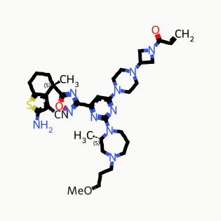 C=CC(=O)N1CC(N2CCN(c3cc(-c4noc([C@@]5(C)CCCc6sc(N)c(C#N)c65)n4)nc(N4CCCN(CCCOC)C[C@@H]4C)n3)CC2)C1